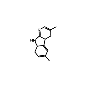 CC1=CCC2NC3=NC=C(C)CC3C2=C1